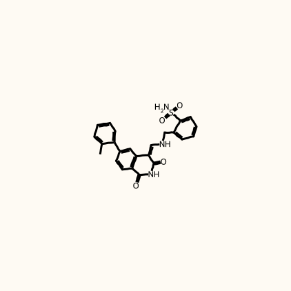 Cc1ccccc1-c1ccc2c(c1)/C(=C/NCc1ccccc1S(N)(=O)=O)C(=O)NC2=O